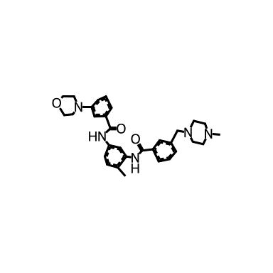 Cc1ccc(NC(=O)c2cccc(N3CCOCC3)c2)cc1NC(=O)c1cccc(CN2CCN(C)CC2)c1